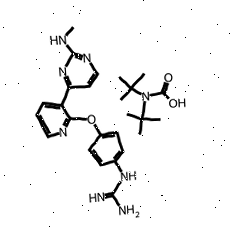 CC(C)(C)N(C(=O)O)C(C)(C)C.CNc1nccc(-c2cccnc2Oc2ccc(NC(=N)N)cc2)n1